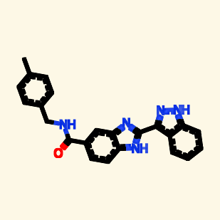 Cc1ccc(CNC(=O)c2ccc3[nH]c(-c4n[nH]c5ccccc45)nc3c2)cc1